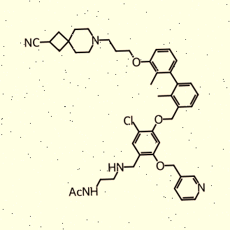 CC(=O)NCCNCc1cc(Cl)c(OCc2cccc(-c3cccc(OCCCN4CCC5(CC4)CC(C#N)C5)c3C)c2C)cc1OCc1cccnc1